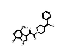 [C-]#[N+]C(=C1CCN(C(=O)C(=O)c2c[nH]c3c(Cl)ncc(OC)c23)CC1)c1ccccc1